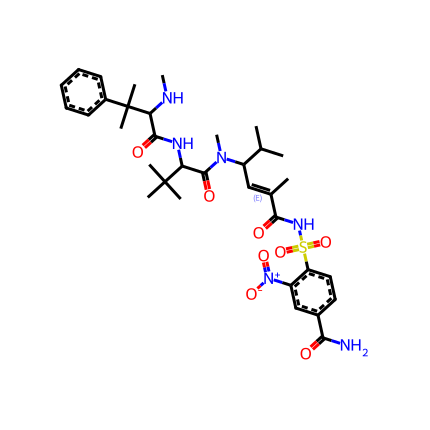 CNC(C(=O)NC(C(=O)N(C)C(/C=C(\C)C(=O)NS(=O)(=O)c1ccc(C(N)=O)cc1[N+](=O)[O-])C(C)C)C(C)(C)C)C(C)(C)c1ccccc1